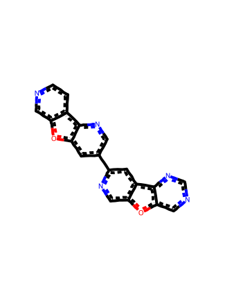 c1cc2c(cn1)oc1cc(-c3cc4c(cn3)oc3cncnc34)cnc12